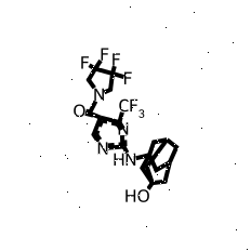 O=C(c1cnc(NC23CC4CC(CC(O)(C4)C2)C3)nc1C(F)(F)F)N1CC(F)(F)C(F)(F)C1